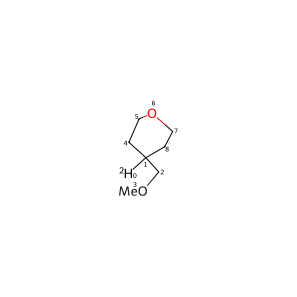 [2H]C1(COC)CCOCC1